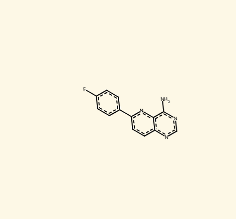 Nc1ncnc2ccc(-c3ccc(F)cc3)nc12